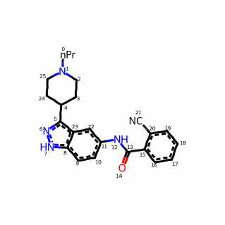 CCCN1CCC(c2n[nH]c3ccc(NC(=O)c4ccccc4C#N)cc23)CC1